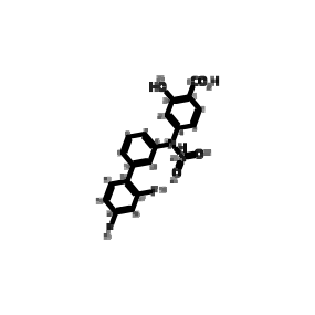 O=C(O)c1ccc(N(c2cccc(-c3ccc(F)cc3F)c2)[SH](=O)=O)cc1O